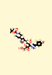 CO[C@@H]1[C@@H](n2cc(-c3ccc(Br)c(F)c3F)nn2)[C@@H](O)[C@@H](CO)O[C@@H]1CC1CC(C2CCN(C(=O)OC(C)(C)C)CC2)=NO1